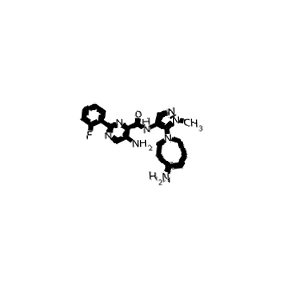 Cn1ncc(NC(=O)c2nc(-c3ccccc3F)ncc2N)c1N1CCCC(N)CC1